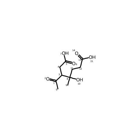 CC(=O)C(CC(=O)O)C(C)(O)CCC(=O)O